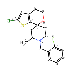 CC1CC2(CCN1Cc1ccccc1F)OCCc1cc(Cl)sc12